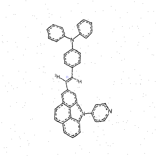 [2H]/C(=C(/[2H])c1cc2ccc3cccc4c3c2c(c1)n4-c1ccncc1)c1ccc(N(c2ccccc2)c2ccccc2)cc1